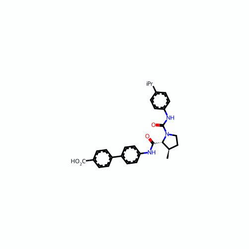 CC(C)c1ccc(NC(=O)N2CC[C@@H](C)[C@@H]2C(=O)Nc2ccc(-c3ccc(C(=O)O)cc3)cc2)cc1